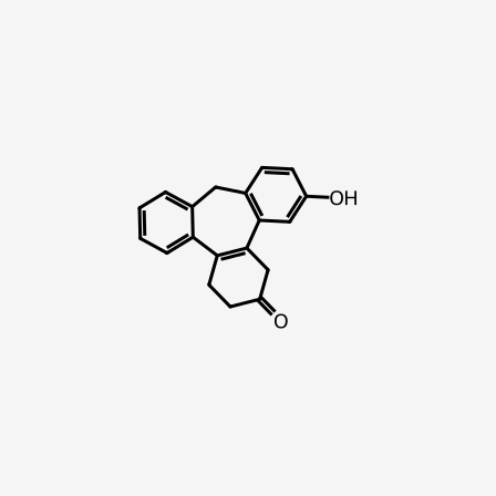 O=C1CCC2=C(C1)c1cc(O)ccc1Cc1ccccc12